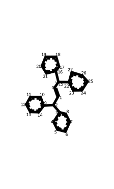 C(=C\C(c1ccccc1)c1ccccc1)/[C](c1ccccc1)c1ccccc1